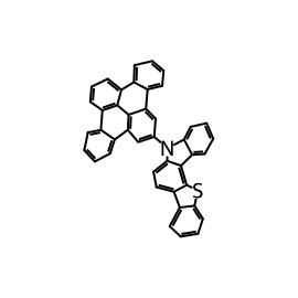 c1ccc2c(c1)sc1c2ccc2c1c1ccccc1n2-c1cc2c3ccccc3c3cccc4c5ccccc5c(c1)c2c34